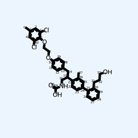 Cc1cc(Cl)c(OCCOc2ccc(CC(CNC(=O)O)c3ccc(-c4ccccc4CCCO)cc3C)cc2)c(Cl)c1